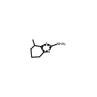 CC(=O)Nc1nc2c(s1)C(C)CCC2